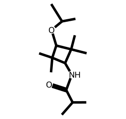 CC(C)OC1C(C)(C)C(NC(=O)C(C)C)C1(C)C